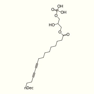 CCCCCCCCCCCCC#CC#CCCCCCCCCC(=O)OCC(O)COP(=O)(O)O